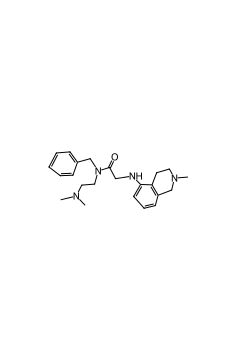 CN(C)CCN(Cc1ccccc1)C(=O)CNc1cccc2c1CCN(C)C2